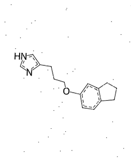 c1nc(CCCOc2ccc3c(c2)CCC3)c[nH]1